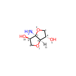 N[C@]12OC[C@H](O)[C@H]1OC[C@H]2O